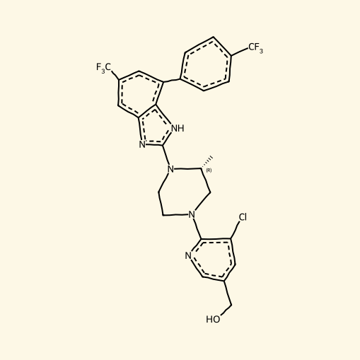 C[C@@H]1CN(c2ncc(CO)cc2Cl)CCN1c1nc2cc(C(F)(F)F)cc(-c3ccc(C(F)(F)F)cc3)c2[nH]1